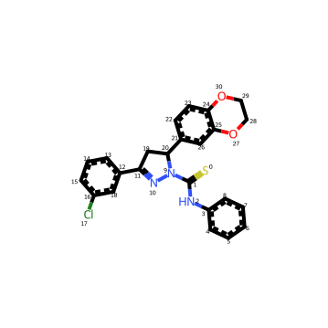 S=C(Nc1ccccc1)N1N=C(c2cccc(Cl)c2)CC1c1ccc2c(c1)OCCO2